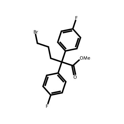 COC(=O)C(CCCBr)(c1ccc(F)cc1)c1ccc(F)cc1